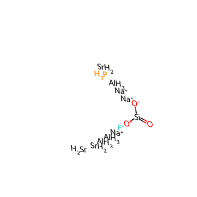 O=[Si]([O-])[O-].P.[AlH3].[AlH3].[AlH3].[F-].[Na+].[Na+].[Na+].[SrH2].[SrH2].[SrH2]